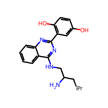 CC(C)CC(N)CNc1nc(-c2cc(O)ccc2O)nc2ccccc12